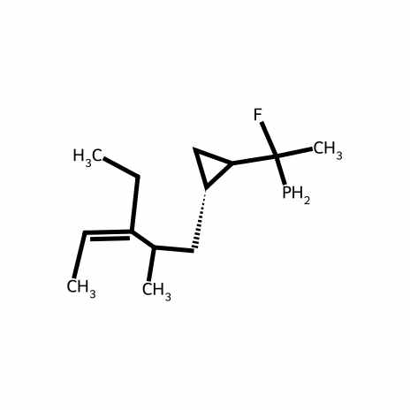 C/C=C(/CC)C(C)C[C@@H]1CC1C(C)(F)P